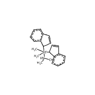 C[SiH](C)[Hf]([CH3])([CH3])([CH]1C=Cc2ccccc21)[CH]1C=Cc2ccccc21